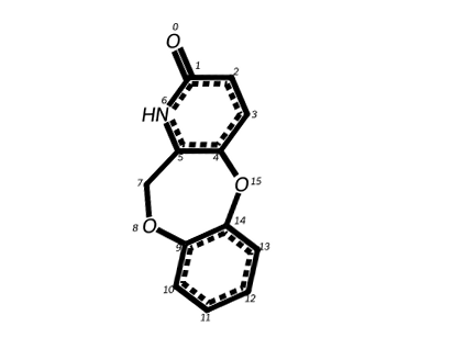 O=c1ccc2c([nH]1)COc1ccccc1O2